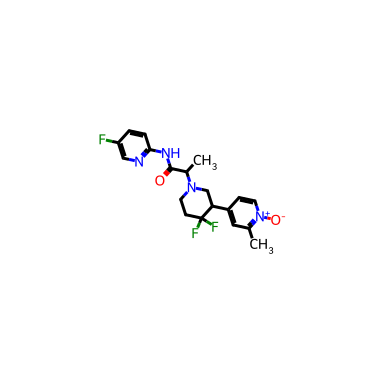 Cc1cc(C2CN(C(C)C(=O)Nc3ccc(F)cn3)CCC2(F)F)cc[n+]1[O-]